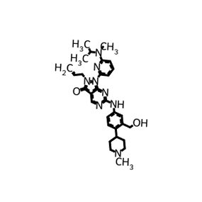 C=CCn1c(=O)c2cnc(Nc3ccc(C4CCN(C)CC4)c(CO)c3)nc2n1-c1cccc(N(C)C(C)C)n1